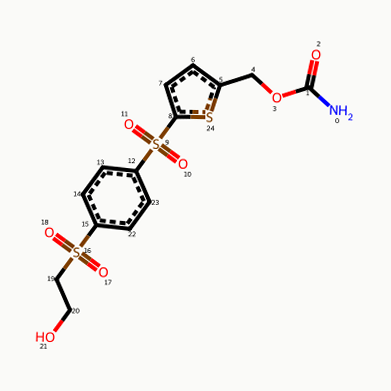 NC(=O)OCc1ccc(S(=O)(=O)c2ccc(S(=O)(=O)CCO)cc2)s1